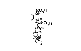 CS(=O)(=O)c1ccc(/C(=C/C2CCN(C(=O)O)CC2)C(=O)O)cc1